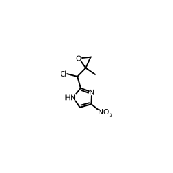 CC1(C(Cl)c2nc([N+](=O)[O-])c[nH]2)CO1